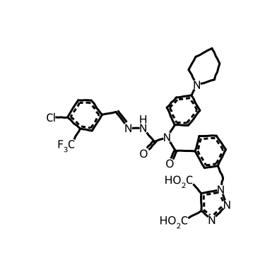 O=C(O)c1nnn(Cc2cccc(C(=O)N(C(=O)NN=Cc3ccc(Cl)c(C(F)(F)F)c3)c3ccc(N4CCCCC4)cc3)c2)c1C(=O)O